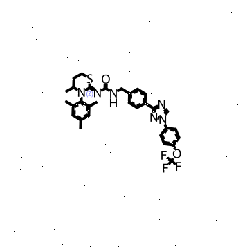 Cc1cc(C)c(N2/C(=N/C(=O)NCc3ccc(-c4ncn(-c5ccc(OC(F)(F)F)cc5)n4)cc3)SCCC2C)c(C)c1